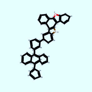 C1=Cc2c(oc3c4ccccc4c4c5c(sc4c23)=CCC(c2cccc(-c3c4ccccc4c(-c4ccccc4)c4ccccc34)c2)C=5)CC1